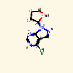 Clc1ncnc2c1cnn2C1CCCO1